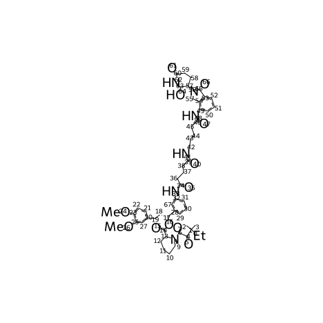 CCC(C)(C)C(=O)C(=O)N1CCCC[C@H]1C(=O)O[C@H](CCc1ccc(OC)c(OC)c1)c1cccc(NC(=O)CCCC(=O)NCCCCC(=O)Nc2cccc3c2CN(C2CCC(=O)NC2O)C3=O)c1